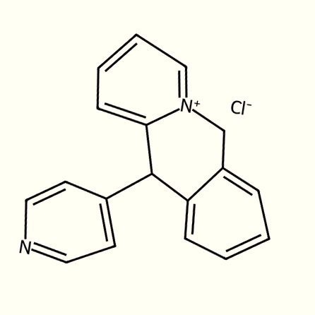 [Cl-].c1ccc2c(c1)C[n+]1ccccc1C2c1ccncc1